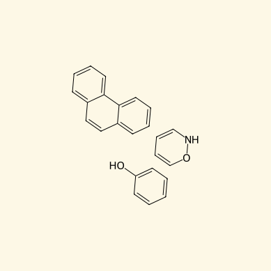 C1=CNOC=C1.Oc1ccccc1.c1ccc2c(c1)ccc1ccccc12